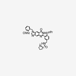 CCCOc1ccc(CNC(=O)[C@@H]2CCCN2C)cc1-c1nc2cc3ncn(Cc4ccccc4OC)c3cc2c(=O)[nH]1